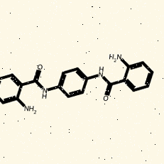 Nc1ccccc1C(=O)Nc1ccc(NC(=O)c2ccccc2N)cc1